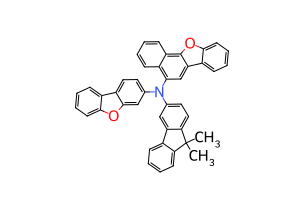 CC1(C)c2ccccc2-c2cc(N(c3ccc4c(c3)oc3ccccc34)c3cc4c5ccccc5oc4c4ccccc34)ccc21